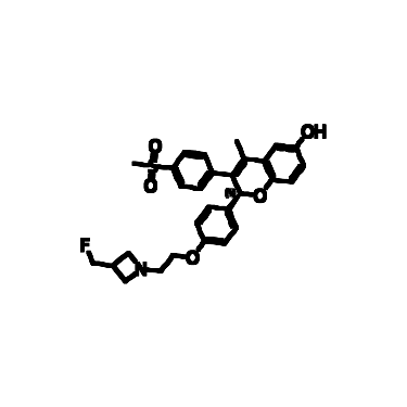 CC1=C(c2ccc(S(C)(=O)=O)cc2)[C@H](c2ccc(OCCN3CC(CF)C3)cc2)Oc2ccc(O)cc21